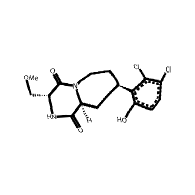 COC[C@H]1NC(=O)[C@@H]2C[C@H](c3c(O)ccc(Cl)c3Cl)CCN2C1=O